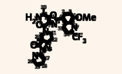 COc1ccc(-c2nc(C(=O)N3CCC4=NN(c5ccccn5)C(=O)C4(C)C3)c([C@H](C)N)o2)c2ccc(C(F)(F)F)nc12